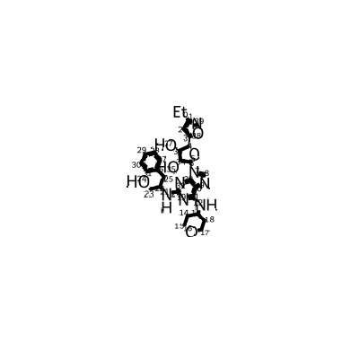 CCc1cc([C@H]2O[C@@H](n3cnc4c(NC5CCOCC5)nc(NC(CO)Cc5ccccc5)nc43)[C@H](O)[C@@H]2O)on1